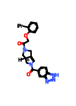 CC(C)c1ccccc1OCC(=O)N1CC2=CN(C(=O)c3ccc4[nH]nnc4c3)C[C@@H]2C1